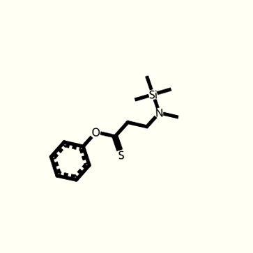 CN(CCC(=S)Oc1ccccc1)[Si](C)(C)C